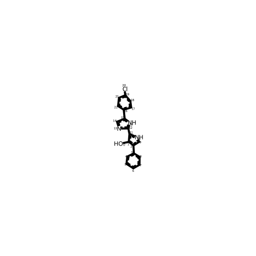 Oc1c(-c2ccccc2)c[nH]c1-c1ncc(-c2ccc(Cl)cc2)[nH]1